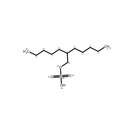 CCCCCC(CCCCC)COS(=O)(=O)O